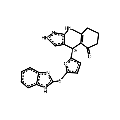 O=C1CCCC2=C1[C@@H](c1ccc(Sc3nc4ccccc4[nH]3)o1)c1c[nH]nc1N2